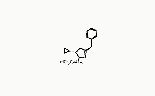 O=C(O)N[C@@H]1CN(Cc2ccccc2)C[C@H]1C1CC1